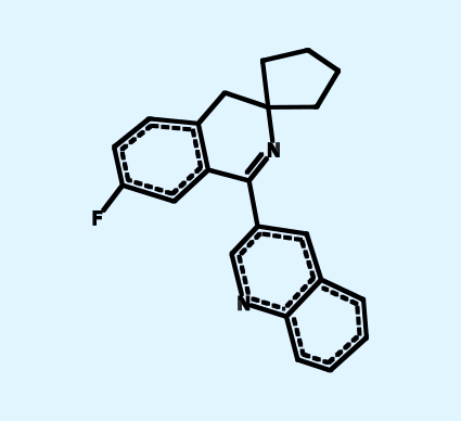 Fc1ccc2c(c1)C(c1cnc3ccccc3c1)=NC1(CCCC1)C2